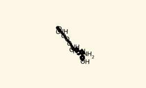 CCc1c(-c2ccc(C(=O)NCCOCCOCCOCCNC(=O)OC(C)(C)C)nc2)cnc(N)c1-c1ccc(O)cc1